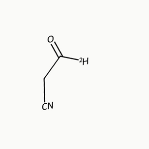 [2H]C(=O)CC#N